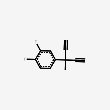 C#CC(C)(C#C)c1ccc(F)c(F)c1